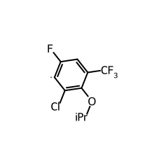 CC(C)Oc1c(Cl)[c]c(F)cc1C(F)(F)F